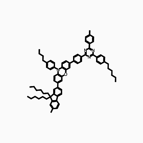 CCCCCCc1ccc(-c2nc(-c3ccc(C)cc3)nc(-c3ccc(-c4ccc5c(c4)Oc4cc(-c6ccc7c(c6)C(CCCCCC)(CCCCCC)c6cc(C)ccc6-7)ccc4N5c4ccc(CCCC)cc4)cc3)n2)cc1